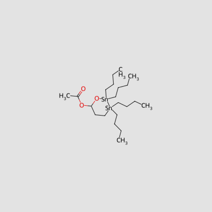 CCC[CH2][Sn]1([CH2]CCC)[CH2]CC(OC(C)=O)[O][Sn]1([CH2]CCC)[CH2]CCC